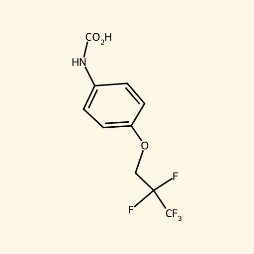 O=C(O)Nc1ccc(OCC(F)(F)C(F)(F)F)cc1